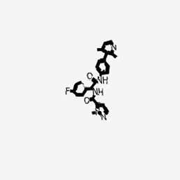 Cc1ccnc(C)c1-c1ccc(NC(=O)[C@@H](NC(=O)c2ccnn2C)[C@H]2CC=C(F)CC2)cc1